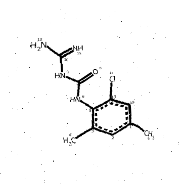 Cc1cc(C)c(NC(=O)NC(=N)N)c(Cl)c1